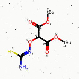 CC(C)(C)OC(=O)C(O/N=C(/N)S)C(=O)OC(C)(C)C